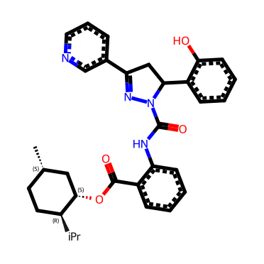 CC(C)[C@H]1CC[C@H](C)C[C@@H]1OC(=O)c1ccccc1NC(=O)N1N=C(c2cccnc2)CC1c1ccccc1O